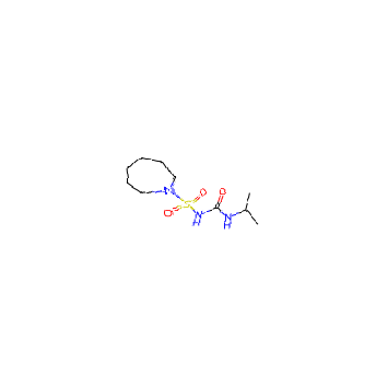 CC(C)NC(=O)NS(=O)(=O)N1CCCCCC1